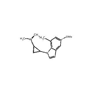 COc1cc(C)c2c(ccn2C2CC2N(C)C)c1